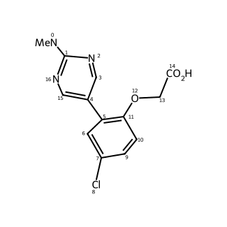 CNc1ncc(-c2cc(Cl)ccc2OCC(=O)O)cn1